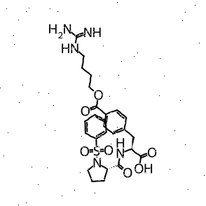 N=C(N)NCCCCOC(=O)c1ccc(C[C@H](NC(=O)[C@@H]2CCCN2S(=O)(=O)c2ccccc2)C(=O)O)cc1